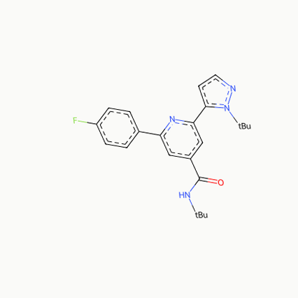 CC(C)(C)NC(=O)c1cc(-c2ccc(F)cc2)nc(-c2ccnn2C(C)(C)C)c1